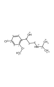 COc1cc(Cl)ccc1C(O)CCNC(C)C